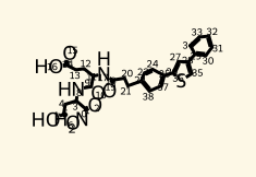 NC(=O)C(CC(=O)O)NC(=O)C(CCC(=O)O)NC(=O)CCc1ccc(-c2cc(-c3ccccc3)cs2)cc1